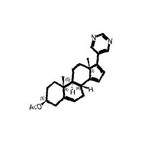 CC(=O)O[C@H]1CC[C@@]2(C)C(=CC[C@H]3C4=CC=C(c5cncnc5)[C@@]4(C)CC[C@@H]32)C1